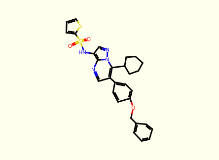 O=S(=O)(Nc1cnn2c(C3CCCCC3)c(-c3ccc(OCc4ccccc4)cc3)cnc12)c1cccs1